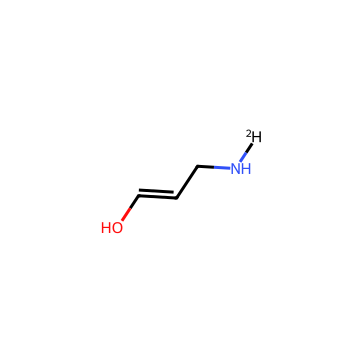 [2H]NCC=CO